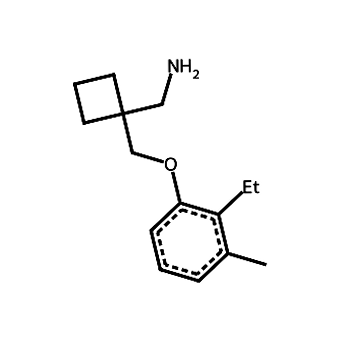 CCc1c(C)cccc1OCC1(CN)CCC1